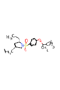 CC[C@H]1C[C@H](C)CN1S(=O)(=O)c1ccc(OC(C)C)cc1